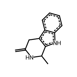 C=C1Cc2c([nH]c3ccccc23)C(C)N1